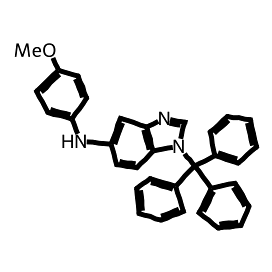 COc1ccc(Nc2ccc3c(c2)ncn3C(c2ccccc2)(c2ccccc2)c2ccccc2)cc1